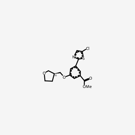 COC(=O)c1cc(OC[C@H]2CCOC2)cc(-c2ncc(Cl)s2)c1